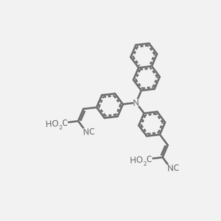 [C-]#[N+]/C(=C\c1ccc(N(c2ccc(/C=C(/[N+]#[C-])C(=O)O)cc2)c2ccc3ccccc3c2)cc1)C(=O)O